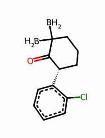 BC1(B)CCC[C@H](c2ccccc2Cl)C1=O